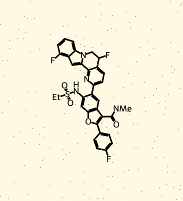 CCS(=O)(=O)Nc1cc2oc(-c3ccc(F)cc3)c(C(=O)NC)c2cc1-c1ccc2c(n1)-c1cc3c(F)cccc3n1CC2F